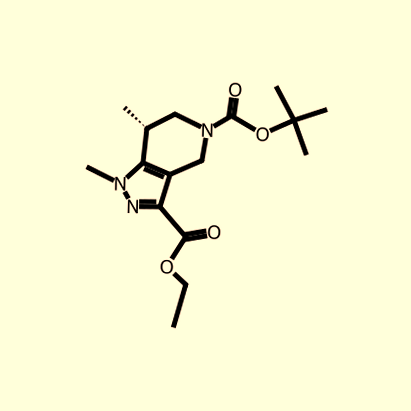 CCOC(=O)c1nn(C)c2c1CN(C(=O)OC(C)(C)C)C[C@H]2C